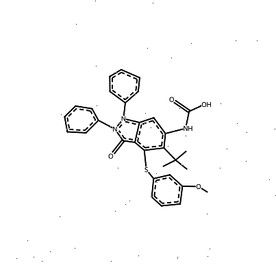 COc1cccc(Sc2c(C(C)(C)C)c(NC(=O)O)cc3c2c(=O)n(-c2ccccc2)n3-c2ccccc2)c1